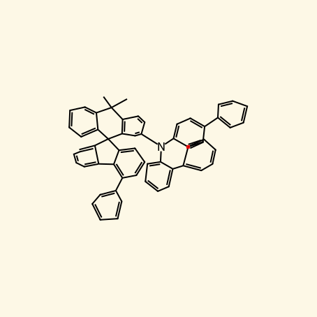 CC1(C)c2ccccc2C2(c3ccccc3-c3c(-c4ccccc4)cccc32)c2cc(N(c3ccc(-c4ccccc4)cc3)c3ccccc3-c3ccccc3)ccc21